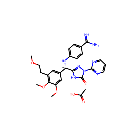 CC(=O)O.COCCc1cc([C@H](Nc2ccc(C(=N)N)cc2)c2nn(-c3ncccn3)c(=O)[nH]2)cc(OC)c1OC